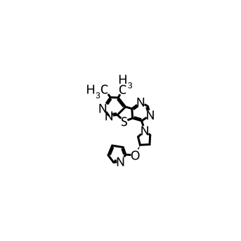 Cc1nnc2sc3c(N4CC[C@H](Oc5ccccn5)C4)ncnc3c2c1C